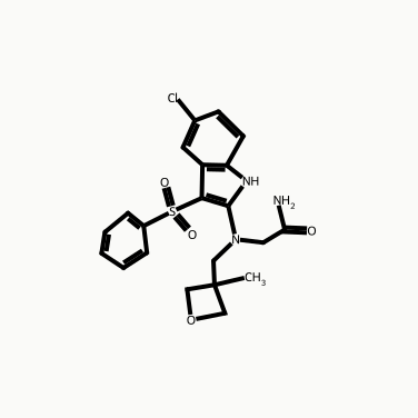 CC1(CN(CC(N)=O)c2[nH]c3ccc(Cl)cc3c2S(=O)(=O)c2ccccc2)COC1